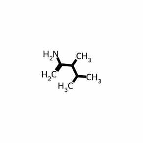 C=C(N)C(C)C(C)C